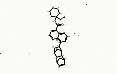 CCC1(OC(=O)c2cccc3c(C4CC5CC4C4C6C=CC(C6)C54)cccc23)CCCCC1